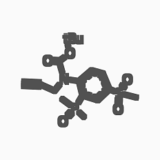 C#CCN(C(=O)OC(C)(C)C)c1ccc(S(C)(=O)=O)cc1P(C)(C)=O